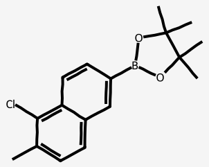 Cc1ccc2cc(B3OC(C)(C)C(C)(C)O3)ccc2c1Cl